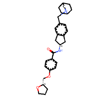 O=C(N[C@@H]1Cc2ccc(CN3CC4CCC3CC4)cc2C1)c1ccc(OC[C@@H]2CCCO2)cc1